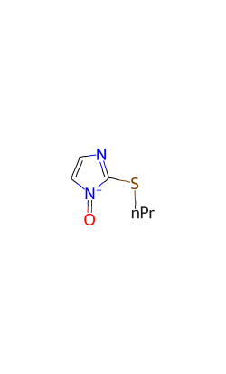 CCCSC1=NC=C[N+]1=O